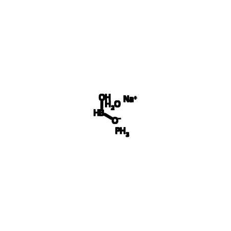 O.P.[Na+].[O-]BO